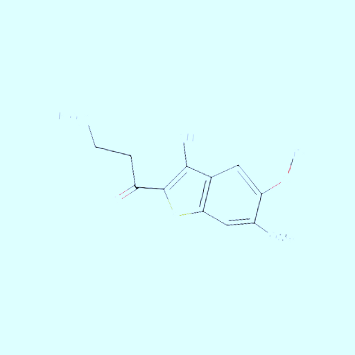 CCOC(=O)CCC(=O)c1sc2cc(OC)c(OC(C)C)cc2c1C